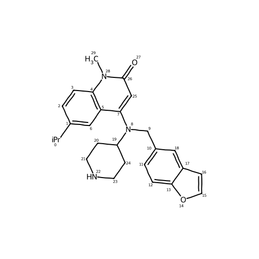 CC(C)c1ccc2c(c1)c(N(Cc1ccc3occc3c1)C1CCNCC1)cc(=O)n2C